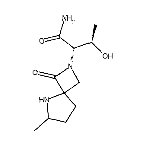 CC1CCC2(CN([C@H](C(N)=O)[C@@H](C)O)C2=O)N1